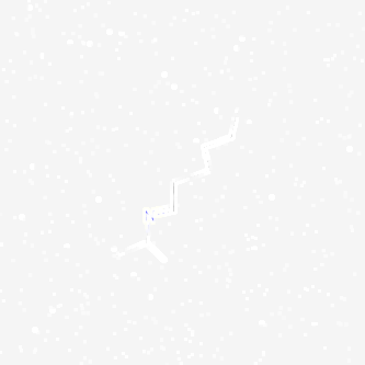 CCCCCC=NC(C)C